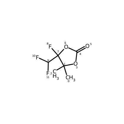 CC1(C)OC(=O)OC1(F)C(F)F